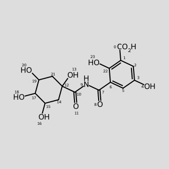 O=C(O)c1cc(O)cc(C(=O)NC(=O)C2(O)CC(O)C(O)C(O)C2)c1O